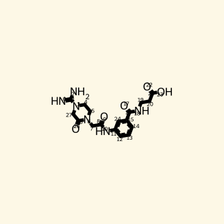 N=C(N)N1CCN(CC(=O)Nc2cccc(C(=O)NCCC(=O)O)c2)C(=O)C1